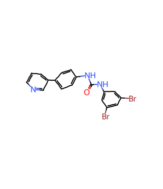 O=C(Nc1ccc(-c2cccnc2)cc1)Nc1cc(Br)cc(Br)c1